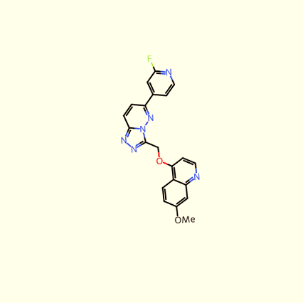 COc1ccc2c(OCc3nnc4ccc(-c5ccnc(F)c5)nn34)ccnc2c1